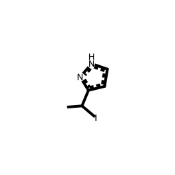 CC(I)c1cc[nH]n1